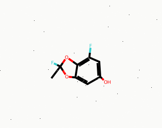 CC1(F)Oc2cc(O)cc(F)c2O1